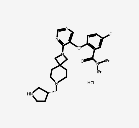 CC(C)N(C(=O)c1cc(F)ccc1Oc1cncnc1N1CC2(CCN(C[C@@H]3CCNC3)CC2)C1)C(C)C.Cl